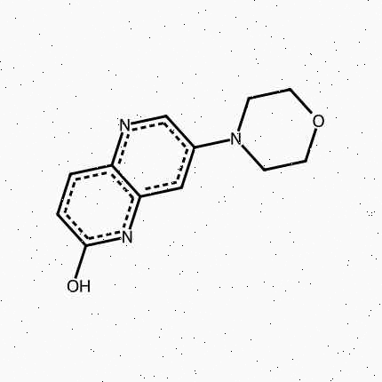 Oc1ccc2ncc(N3CCOCC3)cc2n1